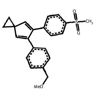 COCc1ccc(C2=CC3(C=C2c2ccc(S(C)(=O)=O)cc2)CC3)cc1